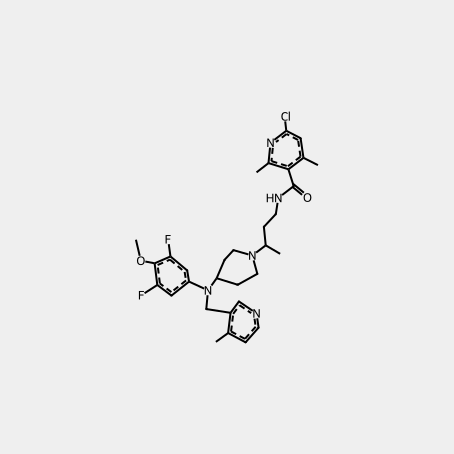 COc1c(F)cc(N(Cc2cnccc2C)C2CCN(C(C)CCNC(=O)c3c(C)cc(Cl)nc3C)CC2)cc1F